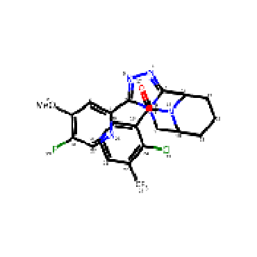 COc1cc(-c2nnc3n2CC2CCCC3N2C(=O)c2cccc(C(F)(F)F)c2Cl)ncc1F